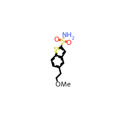 COCCc1ccc2sc(S(N)(=O)=O)cc2c1